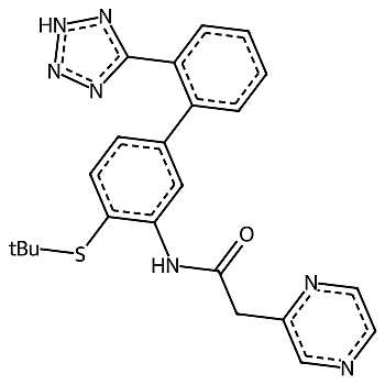 CC(C)(C)Sc1ccc(-c2ccccc2-c2nn[nH]n2)cc1NC(=O)Cc1cnccn1